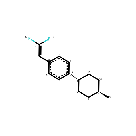 C[C@H]1CC[C@H](c2ccc(C=C(F)F)cc2)CC1